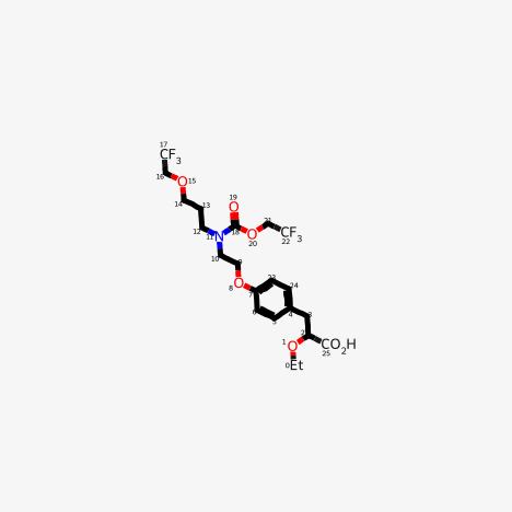 CCOC(Cc1ccc(OCCN(CCCOCC(F)(F)F)C(=O)OCC(F)(F)F)cc1)C(=O)O